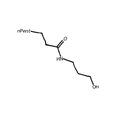 CCCCCCCC(=O)NCCCO